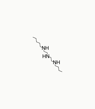 CCCCCNCCNCCNCCCC